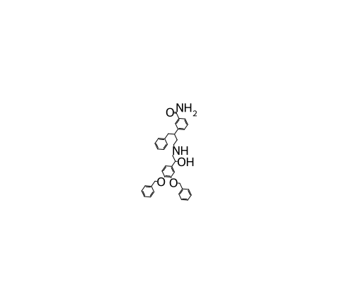 NC(=O)c1cccc(C(CCNCC(O)c2ccc(OCc3ccccc3)c(OCc3ccccc3)c2)Cc2ccccc2)c1